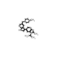 Cc1nc2ncc(-c3c[nH]c4ncc(CN5CCN(C)CC5)cc34)cc2n1C(C)C